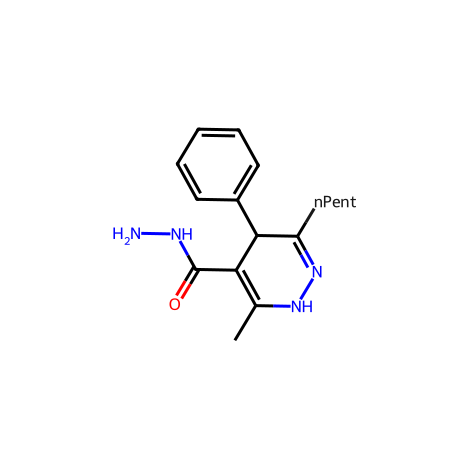 CCCCCC1=NNC(C)=C(C(=O)NN)C1c1ccccc1